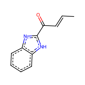 CC=CC(=O)c1nc2ccccc2[nH]1